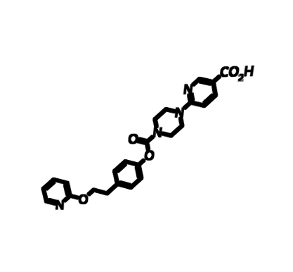 O=C(O)c1ccc(N2CCN(C(=O)Oc3ccc(CCOc4ccccn4)cc3)CC2)nc1